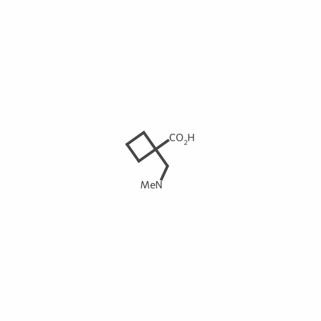 CNCC1(C(=O)O)CCC1